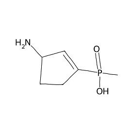 CP(=O)(O)C1=CC(N)CC1